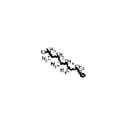 CC(=CCCC(C)=CCCC(C)=CCCC(C)=CCCC(C)=CCCC(C)=CCCC(C)CCOCc1ccccc1)CCl